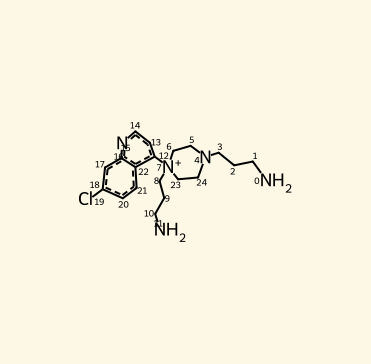 NCCCN1CC[N+](CCCN)(c2ccnc3cc(Cl)ccc23)CC1